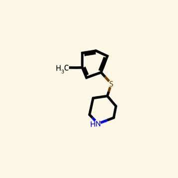 Cc1cccc(SC2CCNCC2)c1